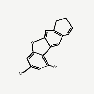 Clc1cc(Br)c2c(c1)oc1cc3c(cc12)C=CCC3